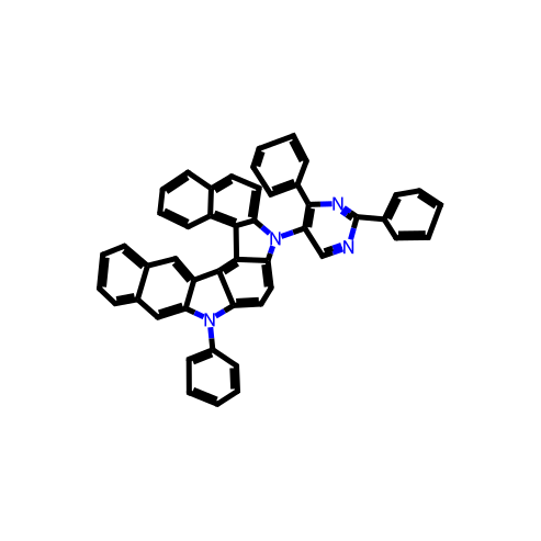 c1ccc(-c2ncc(-n3c4ccc5ccccc5c4c4c5c6cc7ccccc7cc6n(-c6ccccc6)c5ccc43)c(-c3ccccc3)n2)cc1